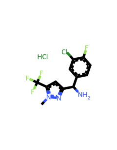 Cl.Cn1nc(C(N)c2ccc(F)c(Cl)c2)cc1C(F)(F)F